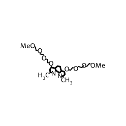 COCCOCCOCCOc1cc(C)nc2c1ccc1c(OCCOCCOCCOC)cc(C)nc12